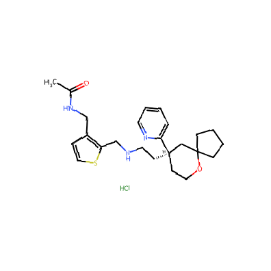 CC(=O)NCc1ccsc1CNCC[C@@]1(c2ccccn2)CCOC2(CCCC2)C1.Cl